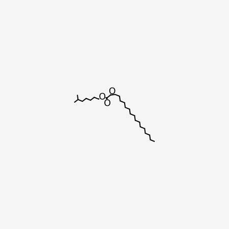 CCCCCCCCCCCCCCCC1OC1C(=O)OCCCCCC(C)C